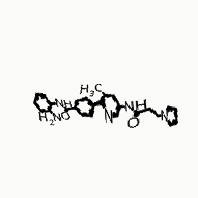 Cc1cc(NC(=O)CCn2cccc2)cnc1-c1ccc(C(=O)Nc2ccccc2N)cc1